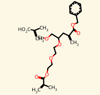 C=C(C)C(=O)O.C=C(C)C(=O)OCCOCCOC(COCC)CC(=C)C(=O)OCc1ccccc1